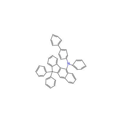 c1ccc(-c2ccc(N(c3ccccc3)c3c4c(cc5ccccc35)C(c3ccccc3)(c3ccccc3)c3ccccc3-4)cc2)cc1